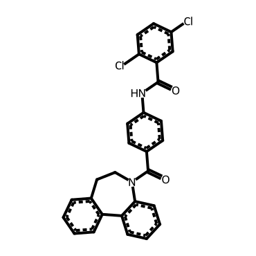 O=C(Nc1ccc(C(=O)N2CCc3ccccc3-c3ccccc32)cc1)c1cc(Cl)ccc1Cl